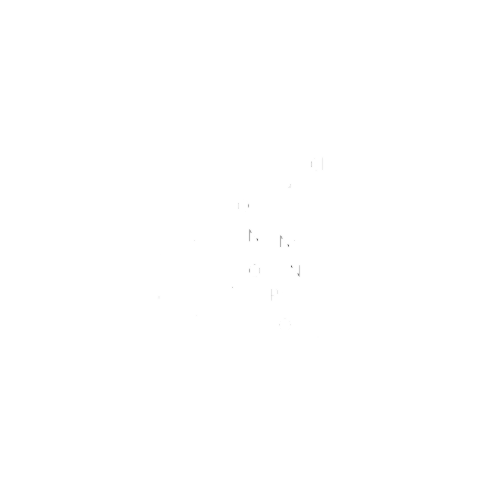 O=NN(CCCl)N1CCCOP1(=O)Cc1ccccc1